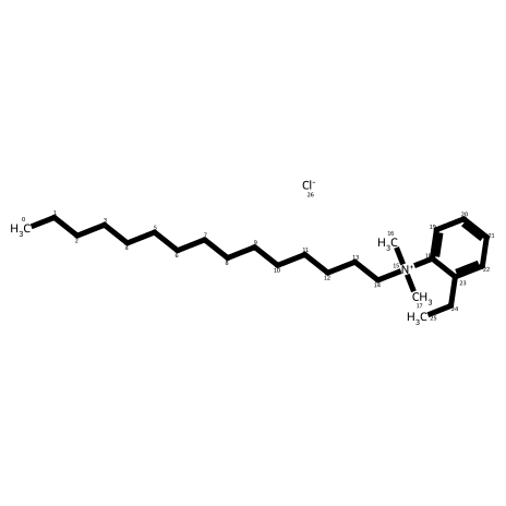 CCCCCCCCCCCCCCC[N+](C)(C)c1ccccc1CC.[Cl-]